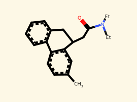 CCN(CC)C(=O)CC1Cc2ccccc2-c2ccc(C)cc21